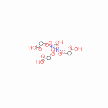 CC(C)(O)C(=O)c1cccc(COC(=O)CN(CCN(CC(=O)OCc2cccc(C(=O)C(C)(C)O)c2)CC(=O)OCc2cccc(C(=O)C(C)(C)O)c2)CC(=O)O)c1